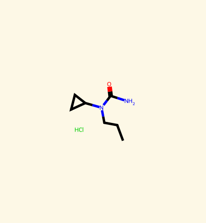 CCCN(C(N)=O)C1CC1.Cl